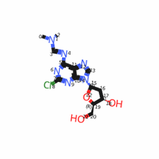 CN(C)C=Nc1nc(Cl)nc2c1ncn2[C@H]1C[C@H](O)[C@@H](CO)O1